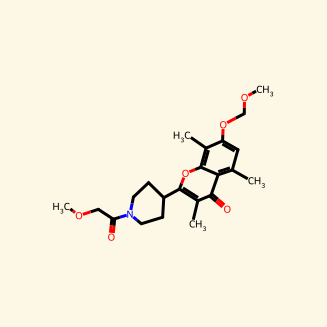 COCOc1cc(C)c2c(=O)c(C)c(C3CCN(C(=O)COC)CC3)oc2c1C